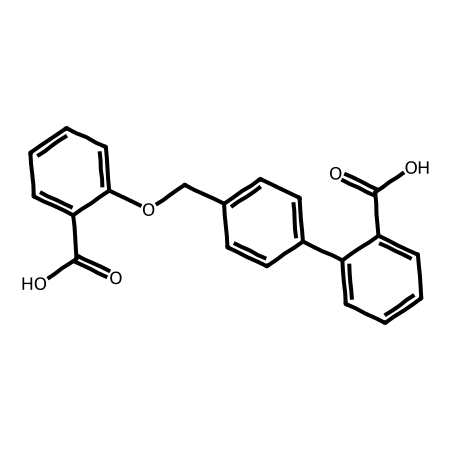 O=C(O)c1ccccc1OCc1ccc(-c2ccccc2C(=O)O)cc1